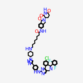 O=C1CCC(N2Cc3cc(NC(=O)CCCCCCCN[C@H]4CC[C@@H](n5cc(-c6ccc(Nc7ncc8c(n7)-c7ccc(Cl)cc7C(c7c(F)cccc7F)=NC8)cc6)nn5)CC4)ccc3C2=O)C(=O)N1